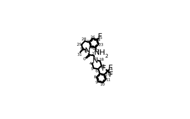 C=C(CN1CCC(c2ccccc2C(F)(F)F)CC1)N1c2c(N)cc(F)cc2CCC1C